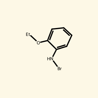 CCOc1ccccc1NBr